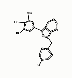 CC(C)(C)c1cc(-c2nn(Cc3ccc(Cl)cc3)c3ncccc23)cc(C(C)(C)C)c1O